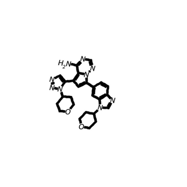 Nc1ncnn2c(-c3ccc4ncn(C5CCOCC5)c4c3)cc(-c3cnnn3C3CCOCC3)c12